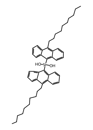 CCCCCCCCCCc1c2ccccc2c([Si](O)(O)c2c3ccccc3c(CCCCCCCCCC)c3ccccc23)c2ccccc12